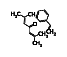 C=Cc1ccccc1.CC(C)=CC(=O)C=C(C)C